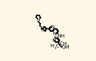 CC(C)(CO)c1cnnc(Nc2ccc3ncc(-c4cnn(CCCN5CCCC5)c4)cc3n2)c1